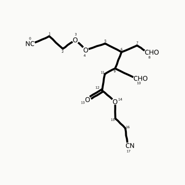 N#CCCOOCC(CC=O)C(C=O)CC(=O)OCCC#N